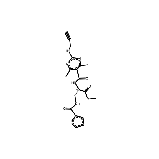 C#CCNc1nc(C)c(C(=O)N[C@@H](CNC(=O)c2cccs2)C(=O)OC)c(C)n1